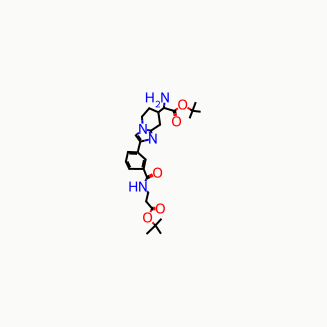 CC(C)(C)OC(=O)CCNC(=O)c1cccc(-c2cn3c(n2)CC(C(N)C(=O)OC(C)(C)C)CC3)c1